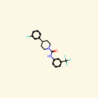 O=C(Nc1cccc(C(F)(F)F)c1)N1CCC(c2cccc(F)c2)CC1